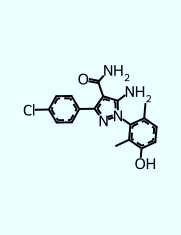 Cc1ccc(O)c(C)c1-n1nc(-c2ccc(Cl)cc2)c(C(N)=O)c1N